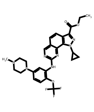 CCOC(=O)c1nn(C2CC2)c2c1ccc1cnc(Nc3cc(N4CCN(C)CC4)ccc3OC(F)(F)F)nc12